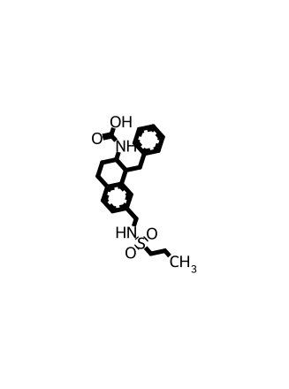 CCCS(=O)(=O)NCc1ccc2c(c1)C(Cc1ccccc1)C(NC(=O)O)CC2